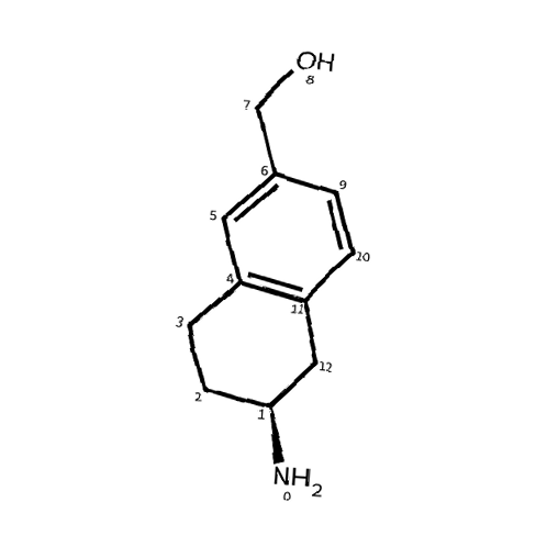 N[C@H]1CCc2cc(CO)ccc2C1